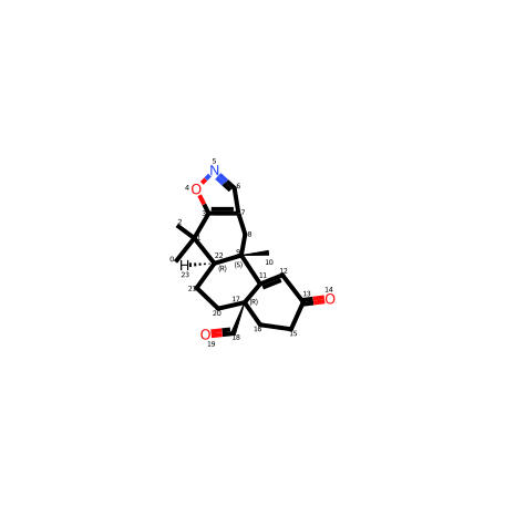 CC1(C)c2oncc2C[C@]2(C)C3=CC(=O)CC[C@]3(C=O)CC[C@@H]12